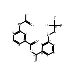 CC(=O)Nc1cc(C(=O)NC(C)c2cccc(OCC(F)(F)F)c2)ccn1